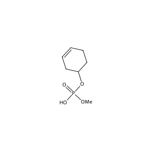 COP(=O)(O)OC1CC=CCC1